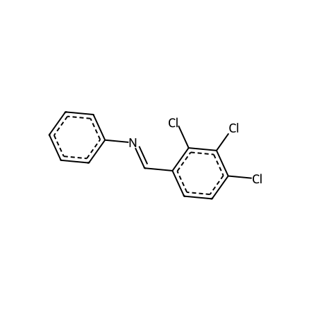 Clc1ccc(/C=N/c2ccccc2)c(Cl)c1Cl